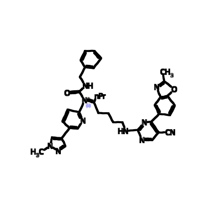 CCC/C(CCCCNc1ncc(C#N)c(-c2ccc3oc(C)nc3c2)n1)=[N+](\C(=O)NCc1ccccc1)c1ccc(-c2cnn(C)c2)cn1